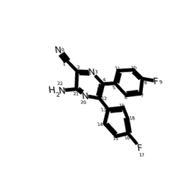 N#Cc1nc(-c2ccc(F)cc2)c(-c2ccc(F)cc2)nc1N